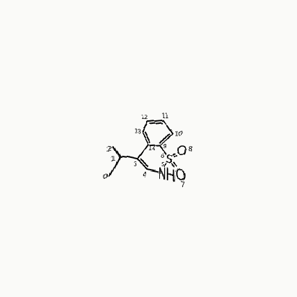 CC(C)C1=CNS(=O)(=O)c2ccccc21